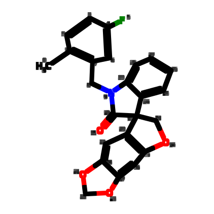 Cc1ccc(F)cc1CN1C(=O)C2(COc3cc4c(cc32)OCO4)c2ccccc21